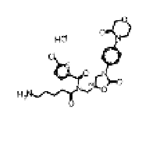 Cl.NCCCCC(=O)N(C[C@H]1CN(c2ccc(N3CCOCC3=O)cc2)C(=O)O1)C(=O)c1ccc(Cl)s1